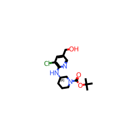 CC(C)(C)OC(=O)N1CCC[C@@H](Nc2ncc(CO)cc2Cl)C1